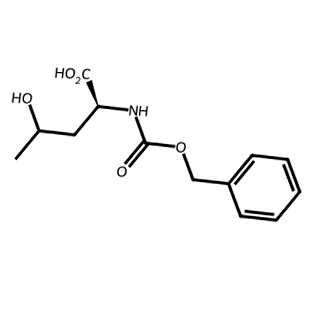 CC(O)C[C@H](NC(=O)OCc1ccccc1)C(=O)O